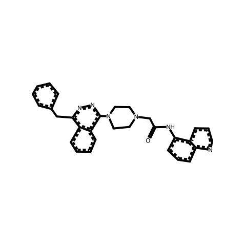 O=C(CN1CCN(c2nnc(Cc3ccccc3)c3ccccc23)CC1)Nc1cccc2ncccc12